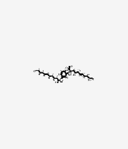 CCCCCCCCCCC(C)Oc1ccc(OC(C)CCCCCCCCCC)c(Cl)c1